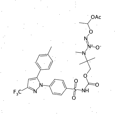 CC(=O)OC(C)ON=[N+]([O-])N(C)C(C)(C)COC(=O)NS(=O)(=O)c1ccc(-n2nc(C(F)(F)F)cc2-c2ccc(C)cc2)cc1